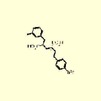 CCCc1ccc(CC[C@H](CC(Cc2cccc(C)c2)C(=O)O)C(=O)O)cc1